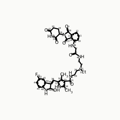 CCN(CCNC(=O)CNc1cccc2c1C(=O)N(C1CCC(=O)NC1=O)C2=O)CCNC(=O)c1c(C)[nH]c(/C=C2/c3cc(F)ccc3NC2O)c1C